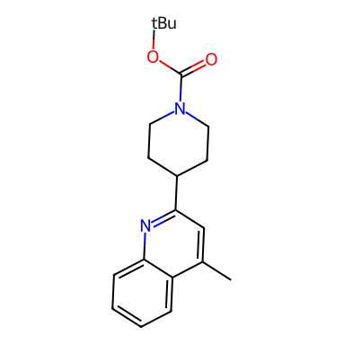 Cc1cc(C2CCN(C(=O)OC(C)(C)C)CC2)nc2ccccc12